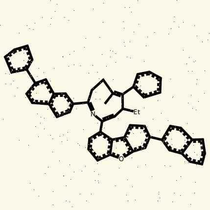 CCC1/C=C(c2cccc3oc4cc(-c5ccc6ccccc6c5)ccc4c23)\N=C(\c2ccc3ccc(-c4ccccc4)cc3c2)CC/C(C)=C/1c1ccccc1